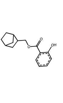 O=C(OCC1CC2CCC1C2)c1ccccc1O